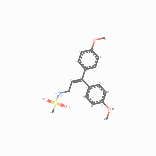 COc1ccc(C(=CCNS(C)(=O)=O)c2ccc(OC)cc2)cc1